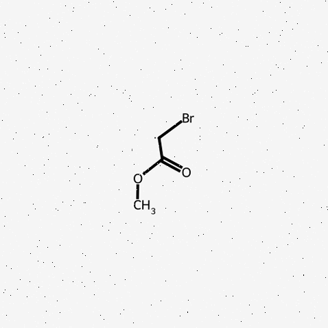 COC(=O)[CH]Br